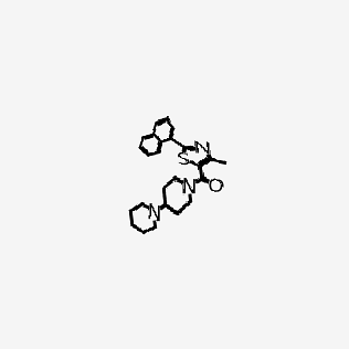 Cc1nc(-c2cccc3ccccc23)sc1C(=O)N1CCC(N2CCCCC2)CC1